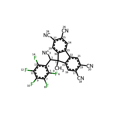 CC1(C(C#N)c2c(F)c(F)c(F)c(F)c2F)c2cc(C#N)c(C#N)cc2-c2cc(C#N)c(C#N)cc21